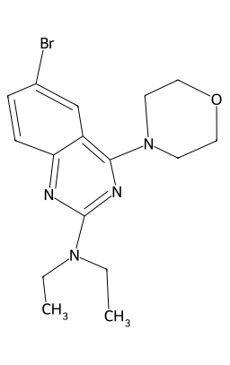 CCN(CC)c1nc(N2CCOCC2)c2cc(Br)ccc2n1